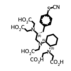 N#CSc1ccc(C[C@H](CN(CC(=O)O)[C@H]2CCCC[C@@H]2N(CC(=O)O)CC(=O)O)N(CC(=O)O)CC(=O)O)cc1